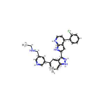 C=C(/C=c1/c(-c2cc3c(-c4ccccc4F)ccnc3[nH]2)n[nH]/c1=C/C)c1cncc(CNCC)c1